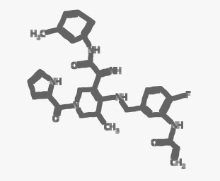 C=CC(=O)Nc1cc(CNC2=C(C(=N)C(=O)Nc3cccc(C)c3)CN(C(=O)c3ccc[nH]3)CC2C)ccc1F